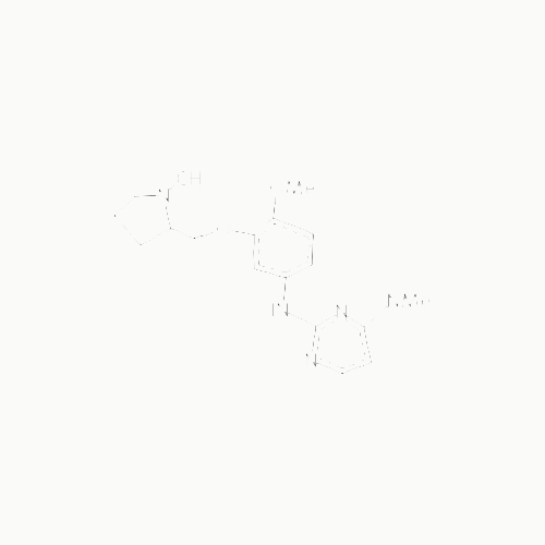 CNc1ccnc(Nc2ccc(OC)c(OCC3CCCN3C)c2)n1